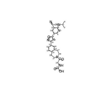 CC(C)Nc1ncc(-c2nc(-c3ccc4c(c3)CCN(C(=O)CNC(=O)O)CC4)no2)cc1C#N